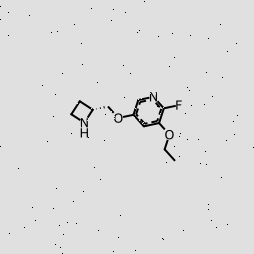 CCOc1cc(OC[C@H]2CCN2)cnc1F